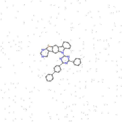 c1ccc(-c2ccc(-c3nc(-c4ccccc4)nc(-n4c5ccccc5c5cc6sc7ncncc7c6cc54)n3)cc2)cc1